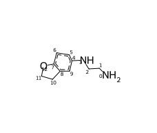 NCCNc1ccc2c(c1)CCO2